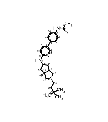 CC(=O)Nc1ccc(-c2ccc(N[C@H]3CC4CN(CCC(C)(C)C)C[C@H]4C3)nn2)cc1